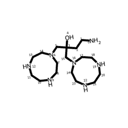 NCCC(O)(CN1CCNCCNCC1)CN1CCNCCNCC1